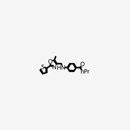 CCCC(=O)c1ccc(NCc2nc(-c3cccs3)oc2C)cc1